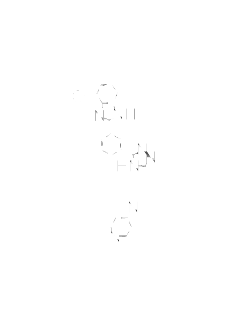 Clc1cccc2[nH]c(-c3cccc(-c4nnc(CC5CCN(c6ccncc6)CC5)[nH]4)c3)nc12